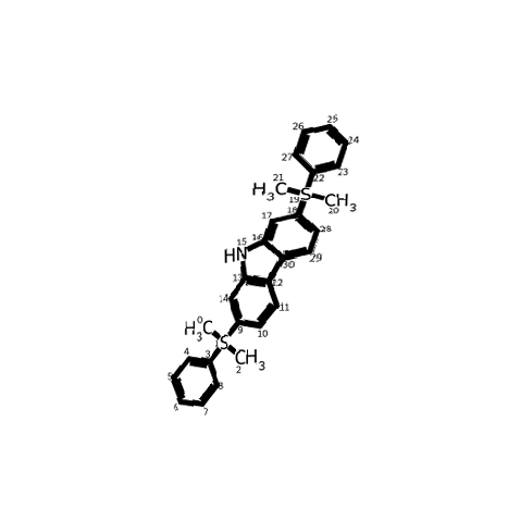 CS(C)(c1ccccc1)c1ccc2c(c1)[nH]c1cc(S(C)(C)c3ccccc3)ccc12